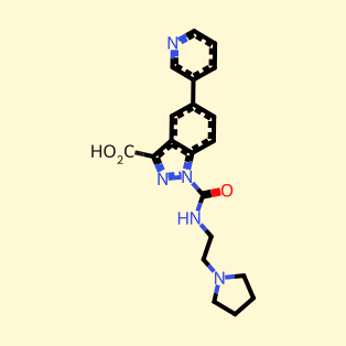 O=C(O)c1nn(C(=O)NCCN2CCCC2)c2ccc(-c3cccnc3)cc12